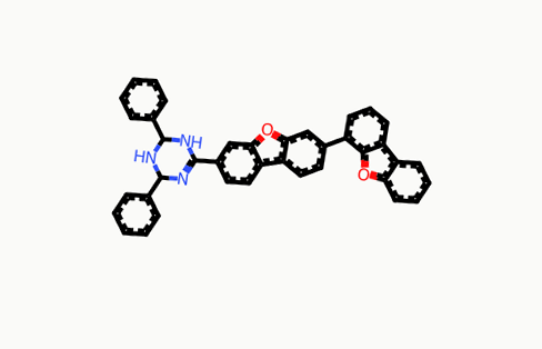 c1ccc(C2N=C(c3ccc4c(c3)oc3cc(-c5cccc6c5oc5ccccc56)ccc34)NC(c3ccccc3)N2)cc1